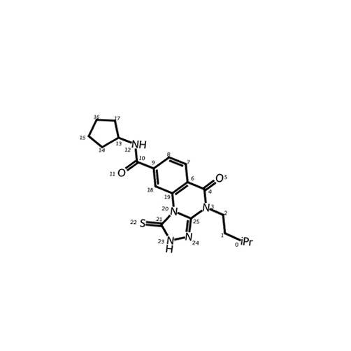 CC(C)CCn1c(=O)c2ccc(C(=O)NC3CCCC3)cc2n2c(=S)[nH]nc12